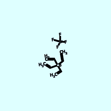 C=[CH][Co]([CH]=C)([CH]=C)[CH]=C.F[B-](F)(F)F